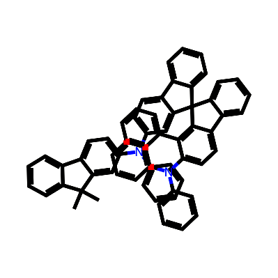 CC1(C)c2ccccc2-c2ccc(N(c3ccccc3)c3ccc4c(c3)C3(c5ccccc5-4)c4ccccc4-c4ccc(N(c5ccccc5)c5ccccc5)c(-c5ccccc5)c43)cc21